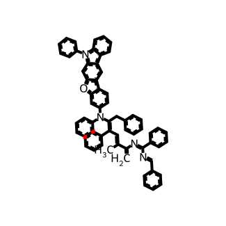 C=C(/N=C(\N=C\c1ccccc1)c1ccccc1)/C(C)=C/C(=C(\Cc1ccccc1)N(c1ccccc1)c1ccc2c(c1)oc1cc3c(cc12)c1ccccc1n3-c1ccccc1)c1ccccc1